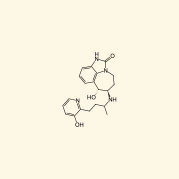 CC(CCc1ncccc1O)N[C@@H]1CCn2c(=O)[nH]c3cccc(c32)[C@H]1O